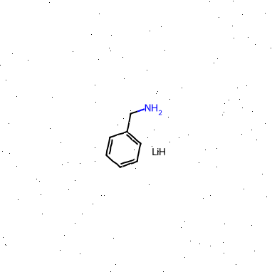 NCc1ccccc1.[LiH]